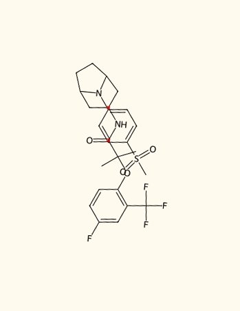 CC(C)(Oc1ccc(F)cc1C(F)(F)F)C(=O)NC1CC2CCC(C1)N2c1ccc(S(C)(=O)=O)cc1